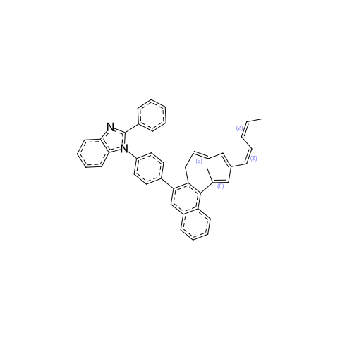 C/C=C\C=C/C1=C/C=C/Cc2c(-c3ccc(-n4c(-c5ccccc5)nc5ccccc54)cc3)cc3ccccc3c2/C(C)=C/1